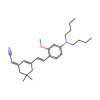 CCCCN(CCCC)c1ccc(/C=C/C2=CC(=CC#N)CC(C)(C)C2)c(OC)c1